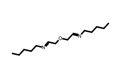 CCCCCN=CCOCC=NCCCCC